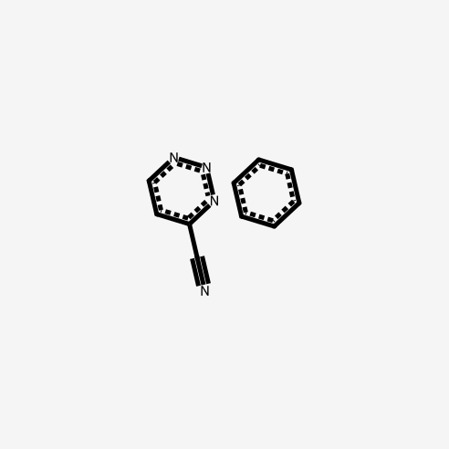 N#Cc1ccnnn1.c1ccccc1